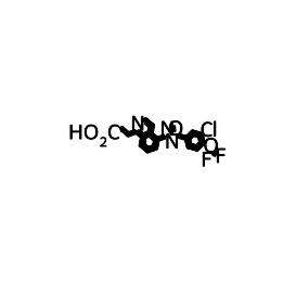 O=C(O)CCc1nccc2c(-c3noc(-c4ccc(OC(F)F)c(Cl)c4)n3)cccc12